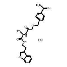 CC(C)C(NC(=O)CNCc1ccc(C(=N)N)cc1)C(=O)NCCc1c[nH]c2ccccc12.Cl